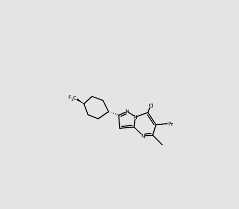 Cc1nc2cc([C@H]3CC[C@H](C(F)(F)F)CC3)nn2c(Cl)c1C(C)C